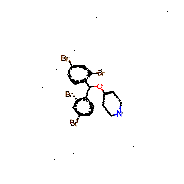 Brc1ccc(C(OC2CC[N]CC2)c2ccc(Br)cc2Br)c(Br)c1